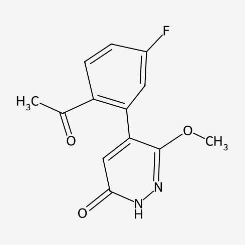 COc1n[nH]c(=O)cc1-c1cc(F)ccc1C(C)=O